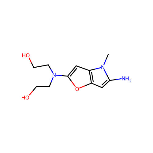 Cn1c(N)cc2oc(N(CCO)CCO)cc21